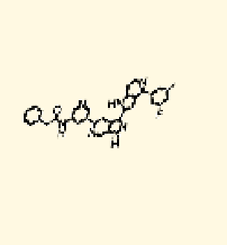 Cc1cc(F)cc(-c2nccc3[nH]c(-c4n[nH]c5cnc(-c6cncc(NC(=O)Cc7ccccc7)c6)cc45)cc23)c1